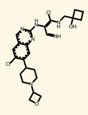 N=C/C(Nc1ncc2cc(Cl)c(C3CCN(C4COC4)CC3)cc2n1)=C(/Cl)NCC1(O)CCC1